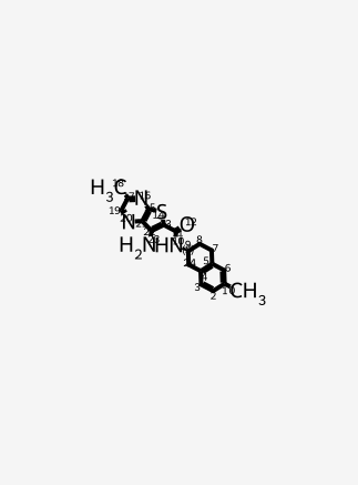 Cc1ccc2c(c1)CC[C@H](NC(=O)c1sc3nc(C)cnc3c1N)C2